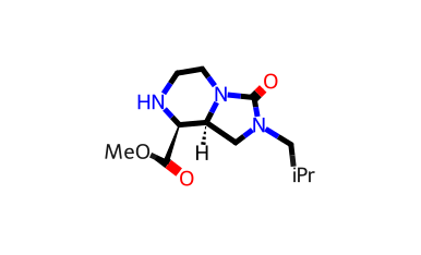 COC(=O)[C@H]1NCCN2C(=O)N(CC(C)C)C[C@@H]12